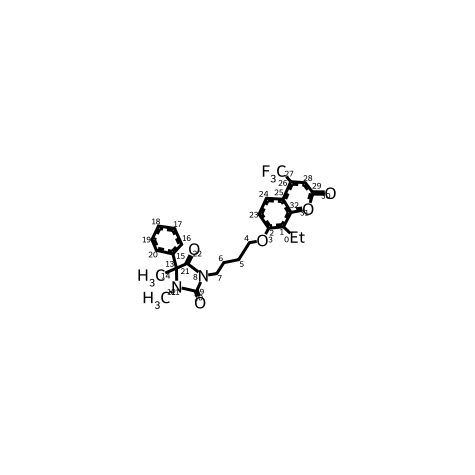 CCc1c(OCCCCN2C(=O)N(C)C(C)(c3ccccc3)C2=O)ccc2c(C(F)(F)F)cc(=O)oc12